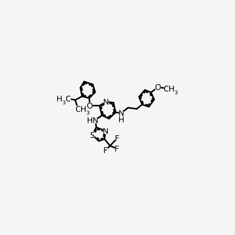 COc1ccc(CCNc2cnc(Oc3ccccc3C(C)C)c(Nc3nc(C(F)(F)F)cs3)c2)cc1